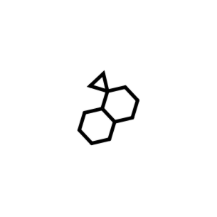 C1CCC2C(C1)CCCC21CC1